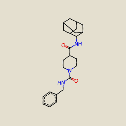 O=C(NC1C2CC3CC(C2)CC1C3)C1CCN(C(=O)NCc2ccccc2)CC1